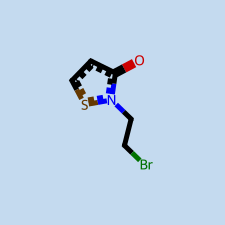 O=c1ccsn1CCBr